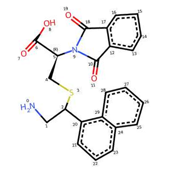 NCC(SC[C@@H](C(=O)O)N1C(=O)c2ccccc2C1=O)c1cccc2ccccc12